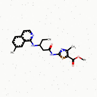 Cc1nc(NC(=O)CC(CC#N)Nc2nccc3ccc(C#N)cc23)sc1C(=O)OC(C)C